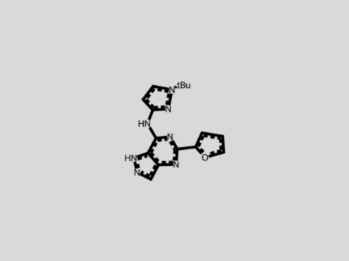 CC(C)(C)n1ccc(Nc2nc(-c3ccco3)nc3cn[nH]c23)n1